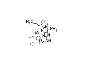 C=CCCC(C)c1nc(N)c2nc(NCCC)n([C@@H]3O[C@H](CO)[C@@H](O)[C@H]3O)c2n1